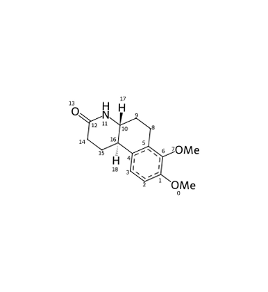 COc1ccc2c(c1OC)CC[C@H]1NC(=O)CC[C@H]21